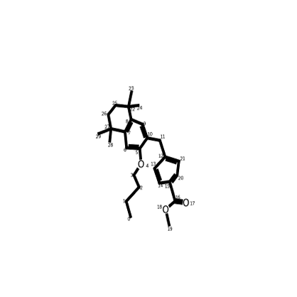 CCCCOc1cc2c(cc1Cc1ccc(C(=O)OC)cc1)C(C)(C)CCC2(C)C